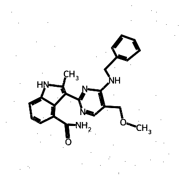 COCc1cnc(-c2c(C)[nH]c3cccc(C(N)=O)c23)nc1NCc1ccccc1